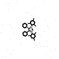 Cc1cc(C)c(N2C=[N+](c3c(C)cc(C)cc3C)C(c3ccccc3)[C@H]2c2ccccc2)c(C)c1